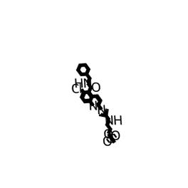 CS(=O)(=O)OCCNC1CN(c2ccc3c(C(=O)NCC4CCCCC4)c(Cl)ccc3n2)C1